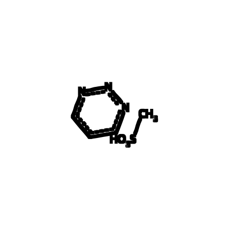 CS(=O)(=O)O.c1cnnnc1